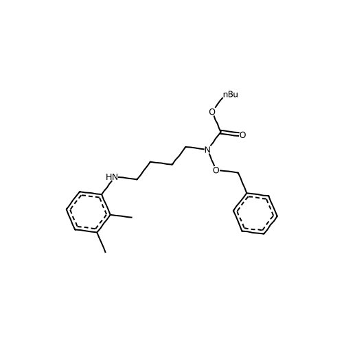 CCCCOC(=O)N(CCCCNc1cccc(C)c1C)OCc1ccccc1